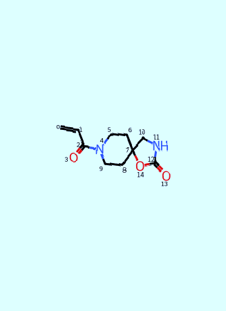 C=CC(=O)N1CCC2(CC1)CNC(=O)O2